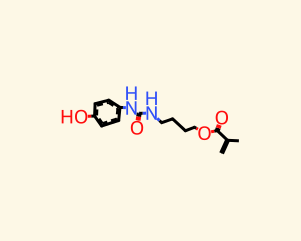 C=C(C)C(=O)OCCCCNC(=O)Nc1ccc(O)cc1